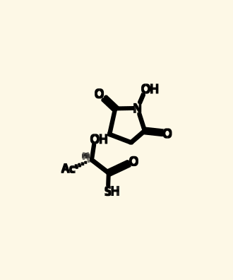 CC(=O)[C@H](O)C(=O)S.O=C1CCC(=O)N1O